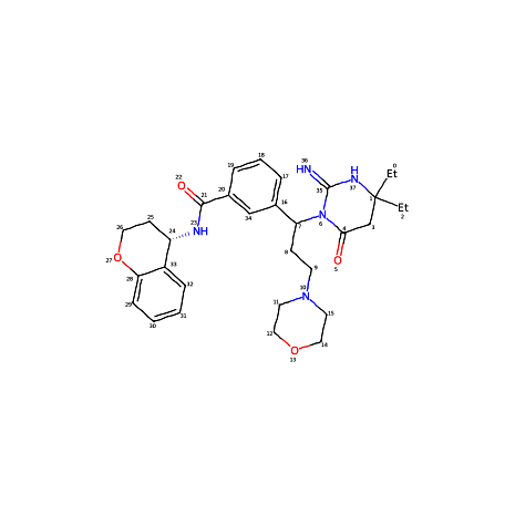 CCC1(CC)CC(=O)N(C(CCN2CCOCC2)c2cccc(C(=O)N[C@H]3CCOc4ccccc43)c2)C(=N)N1